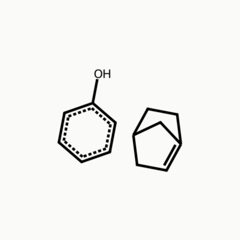 C1=C2CCC(C1)C2.Oc1ccccc1